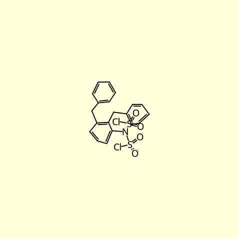 O=S(=O)(Cl)N(c1cccc(Cc2ccccc2)c1Cc1ccccc1)S(=O)(=O)Cl